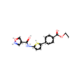 CCOC(=O)c1ccc(-c2ccc(NC(=O)c3cnoc3)s2)cc1